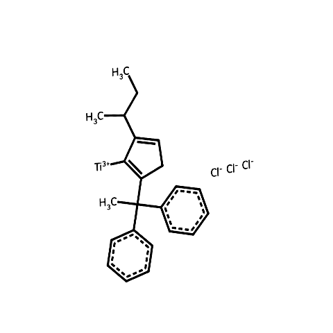 CCC(C)C1=CCC(C(C)(c2ccccc2)c2ccccc2)=[C]1[Ti+3].[Cl-].[Cl-].[Cl-]